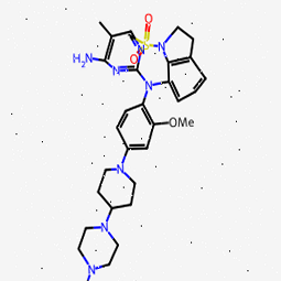 COc1cc(N2CCC(N3CCN(C)CC3)CC2)ccc1N(c1ncc(C)c(N)n1)c1cccc2c1N(S(C)(=O)=O)CC2